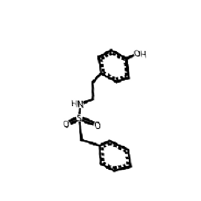 O=S(=O)(Cc1ccccc1)NCCc1ccc(O)cc1